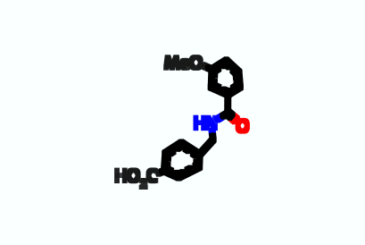 COc1cccc(C(=O)NCc2ccc(C(=O)O)cc2)c1